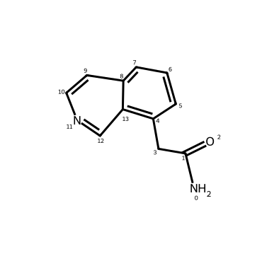 NC(=O)Cc1cccc2ccncc12